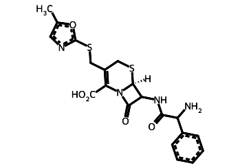 Cc1cnc(SCC2=C(C(=O)O)N3C(=O)C(NC(=O)C(N)c4ccccc4)[C@@H]3SC2)o1